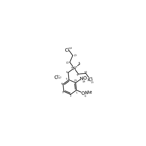 COc1cccc(C[N+](C)(CCCl)CCCl)c1[N+](=O)[O-].[Cl-]